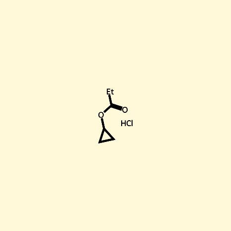 CCC(=O)OC1CC1.Cl